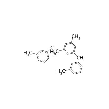 Cc1cc(C)cc(C)c1.Cc1cccc(C)c1.Cc1ccccc1